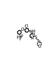 FC(F)(F)c1cccc(Oc2ccc(Nc3ccnc(SCCN4CCOCC4)n3)cc2Cl)c1